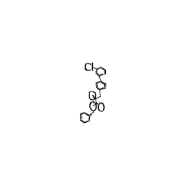 O=C(Cc1ccc(-c2cccc(Cl)c2)cc1)C(=O)OCc1ccccc1